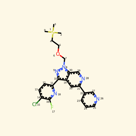 CS(C)(C)CCOCn1nc(-c2ccc(Cl)c(F)n2)c2cc(-c3cccnc3)ncc21